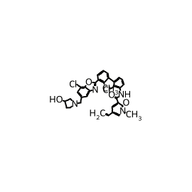 C=Cc1cc(C(=O)Nc2cccc(-c3cccc(-c4nc5cc(CN6CCC(O)C6)cc(Cl)c5o4)c3C)c2Cl)c(=O)n(C)c1